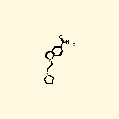 NC(=O)c1ccc2c(ccn2CCN2CCCC2)c1